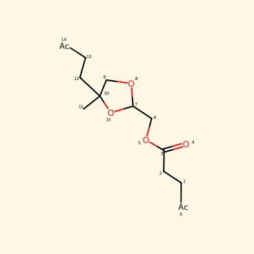 CC(=O)CCC(=O)OCC1OCC(C)(CCC(C)=O)O1